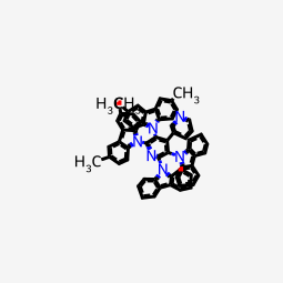 Cc1ccc2c(c1)c1cc(C)ccc1n2-c1nc(-n2c3ccccc3c3ccccc32)c(-n2c3ccccc3c3ccccc32)c(-c2cccnc2)c1-n1c2ccc(C)cc2c2cc(C)ccc21